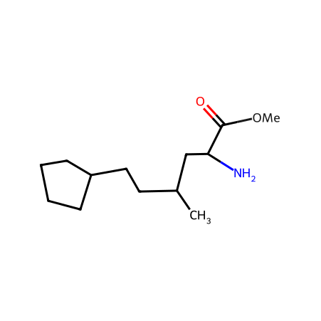 COC(=O)C(N)CC(C)CCC1CCCC1